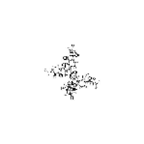 CCN1CCN(C(=O)NC(C(=O)N[C@@H](Cc2cccc(C(=O)OC(C)(C)C)c2OC)B2O[C@@H]3C[C@@H]4C[C@@H](C4(C)C)[C@]3(C)O2)c2ccc(C(=O)OC(C)(C)C)c(Cl)c2Cl)C(=O)C1=O